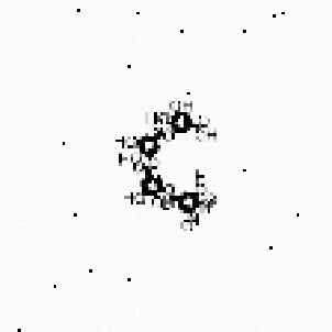 O=Nc1cc(C(=O)Oc2cc(C(=O)Oc3cc(C(=O)Oc4cc(C(=O)O)cc(O)c4O)cc(O)c3O)cc(O)c2O)cc(O)c1N=O